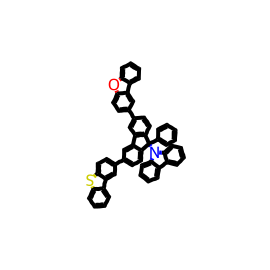 c1ccc(C2(n3c4ccccc4c4ccccc43)c3ccc(-c4ccc5oc6ccccc6c5c4)cc3-c3cc(-c4ccc5sc6ccccc6c5c4)ccc32)cc1